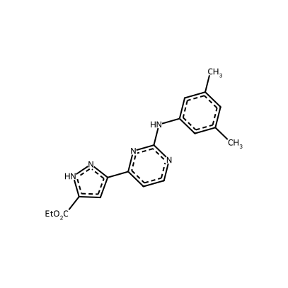 CCOC(=O)c1cc(-c2ccnc(Nc3cc(C)cc(C)c3)n2)n[nH]1